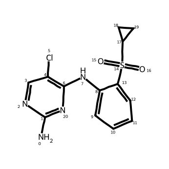 Nc1ncc(Cl)c(Nc2ccccc2S(=O)(=O)C2CC2)n1